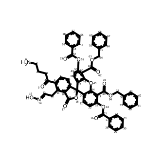 NCCCC(=O)c1ccc2c(c1CC=NO)C(=O)OC21c2ccc(OC(=O)c3ccccc3)c(C(=O)OCc3ccccc3)c2Oc2c1ccc(OC(=O)c1ccccc1)c2C(=O)OCc1ccccc1